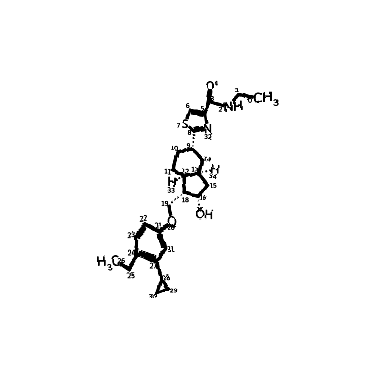 CCNC(=O)c1csc([C@H]2CC[C@H]3[C@@H](C2)C[C@H](O)[C@@H]3COc2ccc(CC)c(C3CC3)c2)n1